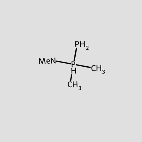 CN[PH](C)(C)P